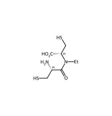 CCN(C(=O)[C@@H](N)CS)[C@@H](CS)C(=O)O